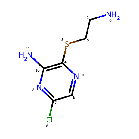 NCCSc1ncc(Cl)nc1N